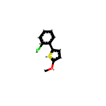 COc1ccc(-c2ccccc2Cl)s1